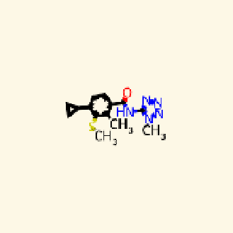 CSc1c(C2CC2)ccc(C(=O)Nc2nnnn2C)c1C